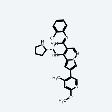 COc1cc(C)c(-c2cc3c(NC[C@@H]4CCCN4)c(/C(N)=N/c4ccccc4Cl)cnn3c2)cn1